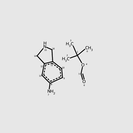 CC(C)(C)OC=O.Nc1ccc2c(c1)CNC2